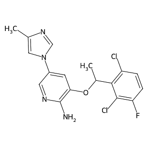 Cc1cn(-c2cnc(N)c(OC(C)c3c(Cl)ccc(F)c3Cl)c2)cn1